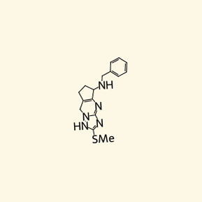 CSC1=NC2=NC3=C(CCC3NCc3ccccc3)CN2N1